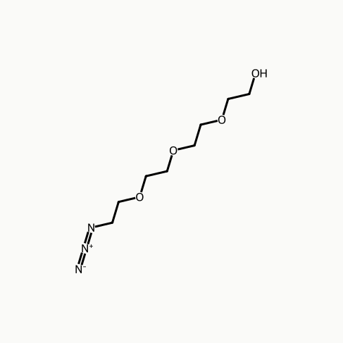 [N-]=[N+]=NCCOCCOCCOCCO